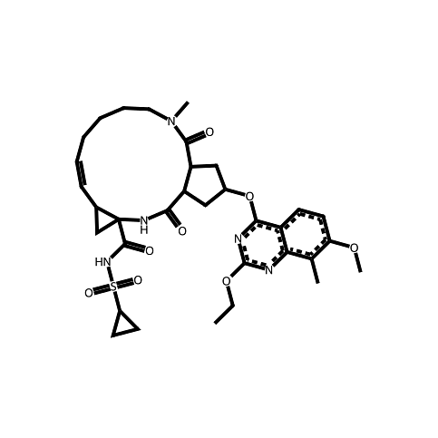 CCOc1nc(OC2CC3C(=O)NC4(C(=O)NS(=O)(=O)C5CC5)CC4C=CCCCCN(C)C(=O)C3C2)c2ccc(OC)c(C)c2n1